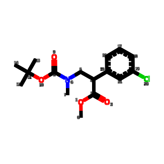 COC(=O)C(CN(C)C(=O)OC(C)(C)C)c1cccc(Cl)c1